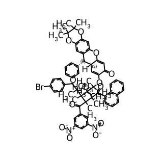 CC1(C)Oc2cc3c(cc2OC1(C)C)[C@@H](c1ccccc1)[C@H]1C=C(OC(C)(C)C(C)(C)C(C)(C(C)(C)C(=O)c2ccc(Br)cc2)C(C)(C(=O)c2cc([N+](=O)[O-])cc([N+](=O)[O-])c2)C(C)(C)C(=O)c2cccc4ccccc24)C(=O)C=C1O3